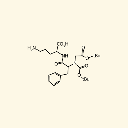 CC(C)(C)OC(=O)CN(C(=O)OC(C)(C)C)C(Cc1ccccc1)C(=O)NC(CCCN)C(=O)O